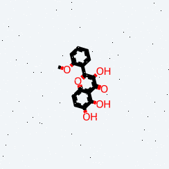 COc1ccccc1-c1oc2ccc(O)c(O)c2c(=O)c1O